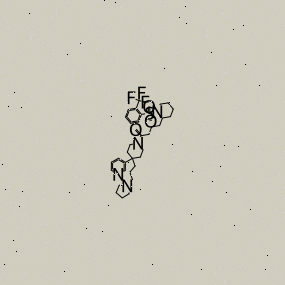 O=C(CCCC1CCCCN1S(=O)(=O)c1ccccc1C(F)(F)F)N1CCC(CCCN2CCCC2)(c2cccnc2)CC1